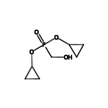 O=P(CO)(OC1CC1)OC1CC1